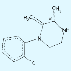 C=C1[C@H](C)NCCN1c1ccccc1Cl